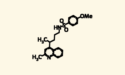 COc1ccc(S(=O)(=O)NCCCC(C)c2cc(C)nc3ccccc23)cc1